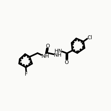 O=C(NCc1cccc(F)c1)NNC(=O)c1ccc(Cl)cc1